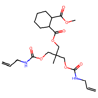 C=CCNC(=O)OCC(C)(COC(=O)NCC=C)COC(=O)C1CCCCC1C(=O)OC